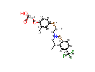 CCCN(C[C@@H](C)Sc1ccc(OCC(=O)O)c(C)c1)Sc1ccc(C(F)(F)F)cc1